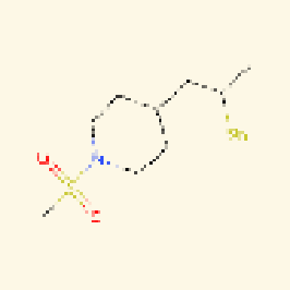 CC(S)CC1CCN(S(C)(=O)=O)CC1